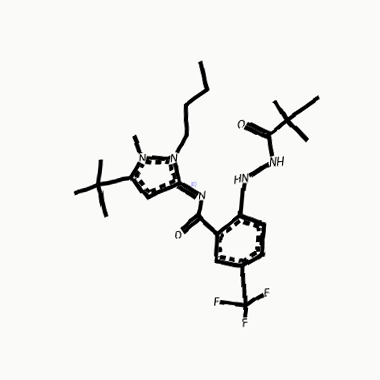 CCCCn1/c(=N/C(=O)c2cc(C(F)(F)F)ccc2NNC(=O)C(C)(C)C)cc(C(C)(C)C)n1C